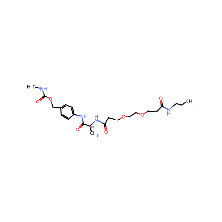 CCCNC(=O)CCOCCOCCC(=O)N[C@@H](C)C(=O)Nc1ccc(COC(=O)NC)cc1